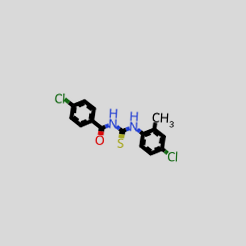 Cc1cc(Cl)ccc1NC(=S)NC(=O)c1ccc(Cl)cc1